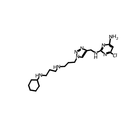 Nc1cc(Cl)nc(NCc2cn(CCCNCCCNC3CCCCC3)nn2)n1